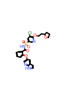 O=C(NS(=O)(=O)c1cnc(OCCC2CCCO2)c(Cl)c1)c1ccccc1Oc1cnc2[nH]ccc2c1